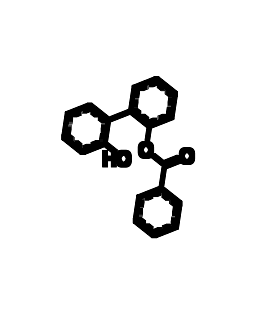 O=C(Oc1ccccc1-c1ccccc1O)c1ccccc1